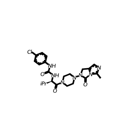 Cc1ncc2n1C(=O)N(N1CCN(C(=O)[C@H](NC(=O)Nc3ccc(Cl)cc3)C(C)C)CC1)C2